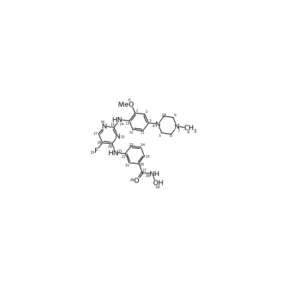 COc1cc(N2CCN(C)CC2)ccc1Nc1ncc(F)c(Nc2cccc(C(=O)NO)c2)n1